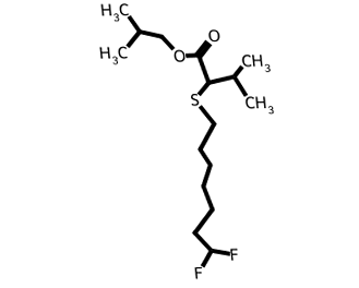 CC(C)COC(=O)C(SCCCCCCC(F)F)C(C)C